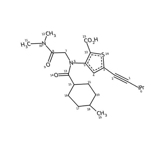 CC(C)C#Cc1cc(N(CC(=O)N(C)C)C(=O)C2CCC(C)CC2)c(C(=O)O)s1